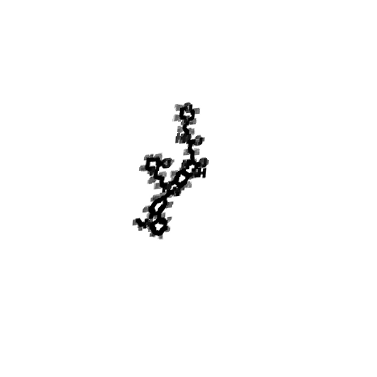 CCn1c2ccccc2c2cc(-c3nc4cc5[nH]c(=O)c(CCC(=O)NCCN6CCOCC6)nc5cc4n3CCCN3CCCC3=O)ccc21